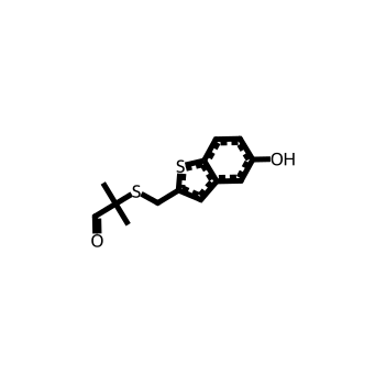 CC(C)(C=O)SCc1cc2cc(O)ccc2s1